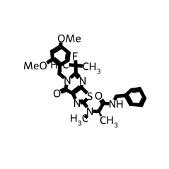 COc1ccc(Cn2c(C(C)(C)F)nc3sc(N(C)[C@H](C)C(=O)NCc4ccccc4)nc3c2=O)c(OC)c1